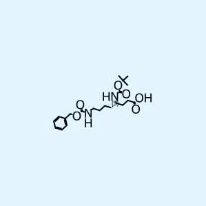 CC(C)(C)OC(=O)N[C@@H](CCCCNC(=O)OCc1ccccc1)CCC(=O)O